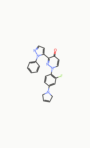 O=c1ccn(-c2ccc(N3CC=CC3)cc2F)nc1-c1ccnn1-c1ccccc1